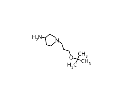 CC(C)(C)OCCCN1CCC(N)CC1